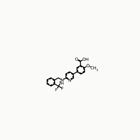 COc1ccc(-c2ccc(NCc3ccccc3C(F)(F)F)nc2)cc1C(=O)O